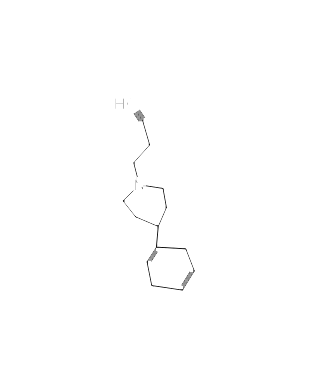 C#CCCN1CCC(C2=CCC=CC2)CC1